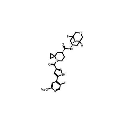 COc1cc(-c2cc(C(=O)N3CC[C@H](C(=O)N[C@@H]4C[C@H]5COC[C@@H](C4)N5C)CC34CC4)n[nH]2)c(F)cn1